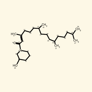 C/C(=C\C(=O)N1CCCC(O)C1)CCCC(C)CCCC(C)CCCC(C)C